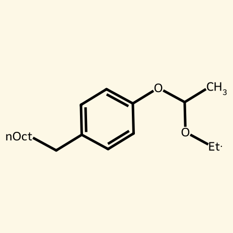 C[CH]OC(C)Oc1ccc(CCCCCCCCC)cc1